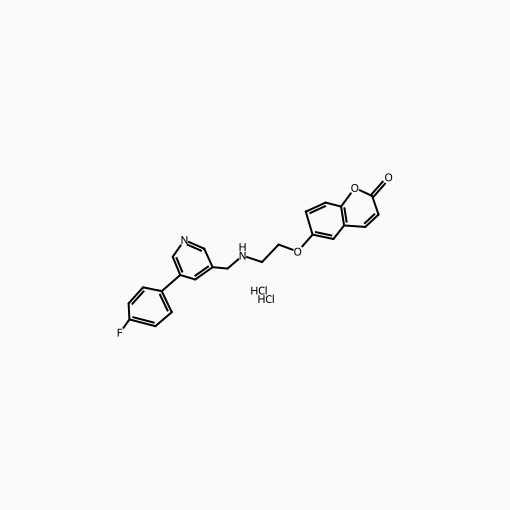 Cl.Cl.O=c1ccc2cc(OCCNCc3cncc(-c4ccc(F)cc4)c3)ccc2o1